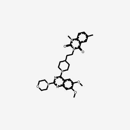 COc1cc2nc(N3CCOCC3)nc(N3CCC(CCn4c(=O)c5cc(C)ccc5n(C)c4=O)CC3)c2cc1OC